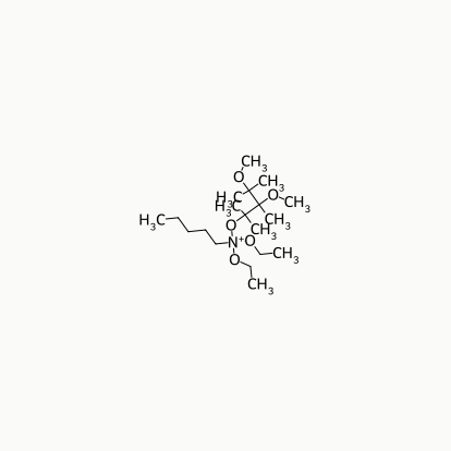 CCCCC[N+](OCC)(OCC)OC(C)(C)C(C)(OC)C(C)(C)OC